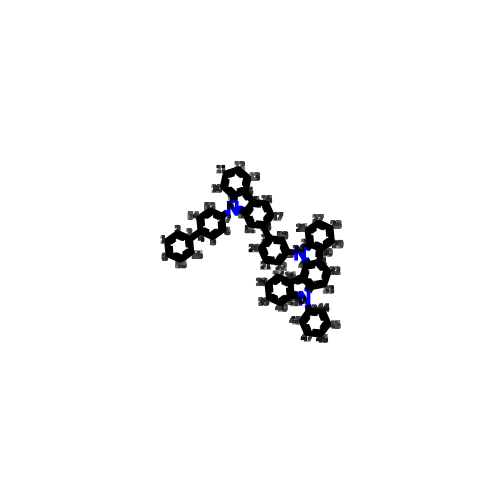 c1ccc(-c2ccc(-n3c4ccccc4c4ccc(-c5cccc(-n6c7ccccc7c7ccc8c(c9ccccc9n8-c8ccccc8)c76)c5)cc43)cc2)cc1